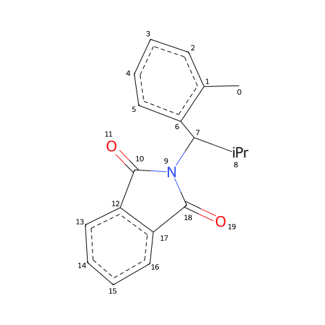 Cc1ccccc1C(C(C)C)N1C(=O)c2ccccc2C1=O